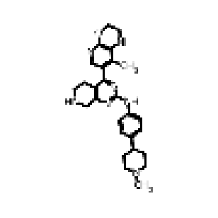 Cc1c(-c2nc(Nc3ccc(C4CCN(C)CC4)cc3)nc3c2CCNC3)cnc2c1NCCO2